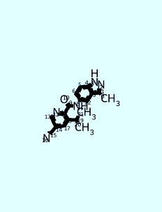 Cc1n[nH]c2ccc(NC(=O)c3ncc(C#N)cc3C(C)C)cc12